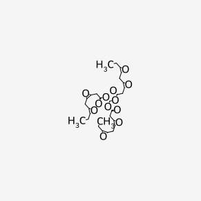 CCC1OC1CC1OC1CC(=O)OC(OC(=O)CC1OC1CC1OC1CC)OC(=O)CC1OC1CC1OC1CC